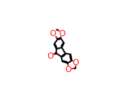 O=C1c2cc3c(cc2-c2cc4c(cc21)OCO4)OCO3